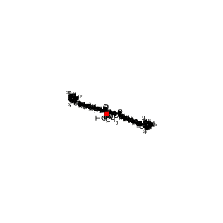 CP(=O)(O)OC(COC(=O)CCCCCCCCCCOc1c(I)cc(I)cc1I)COC(=O)CCCCCCCCCCOc1c(I)cc(I)cc1I